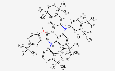 CC(C)(C)c1cc2c3c(c1)N(c1cccc4c1-c1ccccc1C4(C)C)c1c(oc4ccc(C(C)(C)C)cc14)B3c1cc3c(cc1N2c1ccc2c(c1)C(C)(C)CCC2(C)C)C(C)(C)CCC3(C)C